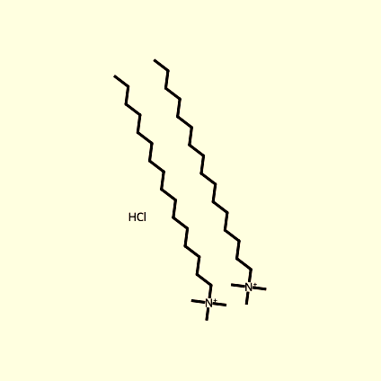 CCCCCCCCCCCCCCCC[N+](C)(C)C.CCCCCCCCCCCCCCCC[N+](C)(C)C.Cl